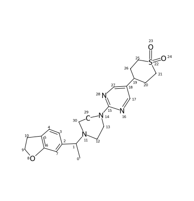 CC(c1ccc2c(c1)OCC2)N1CCN(c2ncc(C3CCS(=O)(=O)CC3)cn2)CC1